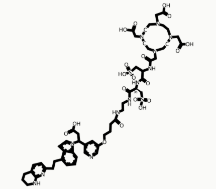 O=C(O)CC(c1cncc(OCCCC(=O)NCCNC(=O)[C@H](CS(=O)(=O)O)NC(=O)C(CS(=O)(=O)O)NC(=O)CN2CCN(CC(=O)O)CCN(CC(=O)O)CCN(CC(=O)O)CC2)c1)n1ccc2c(CCc3ccc4c(n3)NCCC4)cccc21